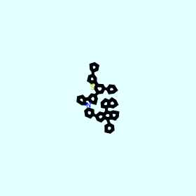 c1ccc(-c2ccc3sc4c(-c5ccc6c(c5)c5ccccc5n6-c5cccc(-c6ccc7c(-c8ccccc8)c8ccccc8c(-c8cccc9ccccc89)c7c6)c5)cc(-c5ccccc5)cc4c3c2)cc1